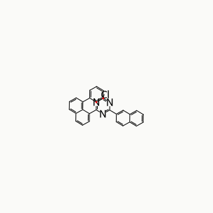 Clc1nc(-c2ccc3ccccc3c2)nc(-c2cccc3cccc(-c4ccccc4)c23)n1